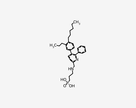 CCCCCCc1ccc(-c2ccc(CNCCCP(=O)(O)O)nc2-c2ccccc2)cc1CCC